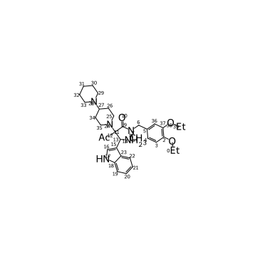 CCOc1ccc(CN(C)C(=O)C(C(C)=O)(C(N)c2c[nH]c3ccccc23)N2CCC(N3CCCCC3)CC2)cc1OCC